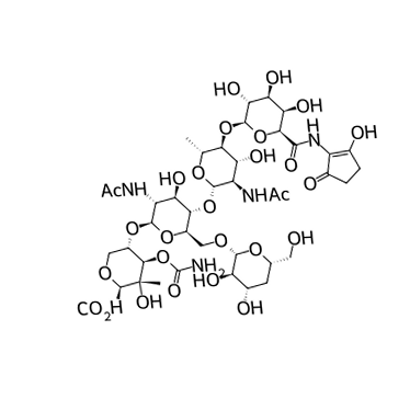 CC(=O)N[C@H]1[C@H](O[C@H]2[C@H](O)[C@@H](NC(C)=O)[C@H](O[C@H]3CO[C@H](C(=O)O)[C@@](C)(O)[C@@H]3OC(N)=O)O[C@@H]2CO[C@@H]2O[C@H](CO)C[C@H](O)[C@H]2O)O[C@H](C)[C@@H](O[C@@H]2O[C@H](C(=O)NC3=C(O)CCC3=O)[C@H](O)[C@H](O)[C@H]2O)[C@@H]1O